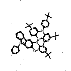 CC(C)(C)c1ccc(N2c3cc(C(C)(C)C)ccc3B3c4c(cc(C(C)(C)C)cc42)-c2cc(C(C)(C)C)cc4c2N3c2cc3c5ccccc5n(-c5ccccc5)c3cc2O4)cc1